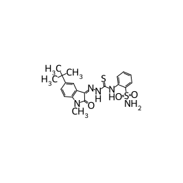 CN1C(=O)C(=NNC(=S)Nc2ccccc2S(N)(=O)=O)c2cc(C(C)(C)C)ccc21